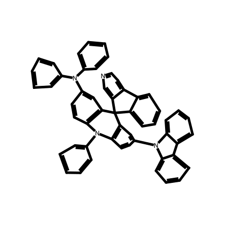 c1ccc(N(c2ccccc2)c2ccc3c(c2)C2(c4ccccc4-c4ccncc42)c2cc(-n4c5ccccc5c5ccccc54)ccc2N3c2ccccc2)cc1